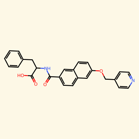 O=C(NC(Cc1ccccc1)C(=O)O)c1ccc2cc(OCc3ccncc3)ccc2c1